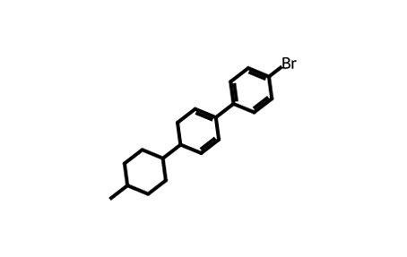 CC1CCC(C2C=CC(c3ccc(Br)cc3)=CC2)CC1